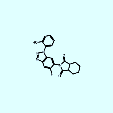 O=C1C2CCCCC2C(=O)N1c1cc2c(cc1F)nnn2-c1ccccc1O